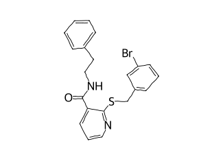 O=C(NCCc1ccccc1)c1cccnc1SCc1cccc(Br)c1